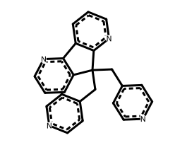 c1cnc2c(c1)-c1ncccc1C2(Cc1ccncc1)Cc1ccncc1